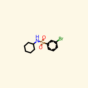 O=S(=O)(NC1CCCCC1)c1cccc(Br)c1